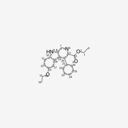 CCOC(=O)c1ncc2[nH]c3ccc(OCC)cc3c2c1-c1ccccc1